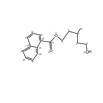 CC(CCO)CCOC(=O)c1cccc2ccccc12